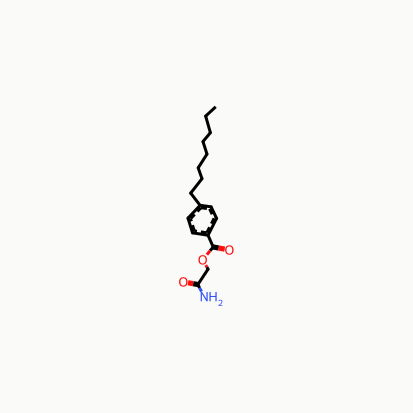 CCCCCCCCc1ccc(C(=O)OCC(N)=O)cc1